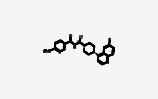 CC[C@H](NC(=O)c1ccc(OC)nc1)[C@H]1CC[C@@H](c2ccnc3ccc(F)cc32)CC1